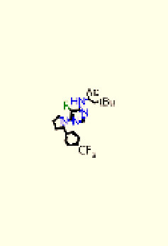 CC(=O)C(CC(C)(C)C)Nc1ncnc(N2CCCC2c2ccc(C(F)(F)F)cc2)c1F